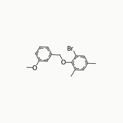 COc1cccc(COc2c(C)cc(C)cc2Br)c1